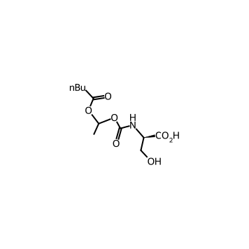 CCCCC(=O)OC(C)OC(=O)N[C@H](CO)C(=O)O